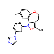 Cc1ccc2c(c1)C1C(=C([AsH2])ON1c1cccc(-n3ccnc3)c1)CCO2